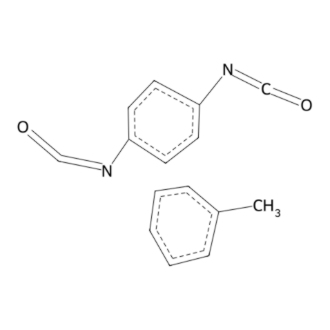 Cc1ccccc1.O=C=Nc1ccc(N=C=O)cc1